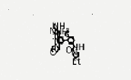 CC[C@@H]1CCN(C(=O)Nc2ccc(C)c(-c3cc(-c4cnc(N)[nH]4)nc(N4CCOCC4)c3)c2)C1